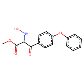 COC(=O)C(NO)C(=O)c1ccc(Oc2ccccc2)cc1